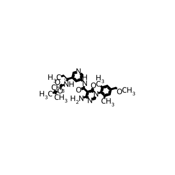 CC[C@H](NC(=O)OC(C)(C)C)c1cncc(NC(=O)c2c(N)ncn(-c3c(C)cc(COC)cc3C)c2=O)c1